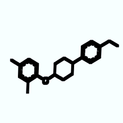 CCc1ccc(C2CCC(Oc3ccc(C)cc3C)CC2)cc1